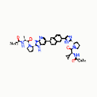 COC(=O)N[C@@H](C)C(=O)N1CCC[C@H]1c1nc2ncc(-c3ccc4cc(-c5cnc([C@@H]6CCCN6C(=O)[C@@H](NC(=O)OC)C6CC6)[nH]5)ccc4c3)cc2[nH]1